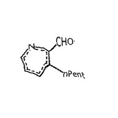 CCCCCc1cccnc1[C]=O